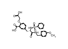 COc1ccc(CNC(=O)[C@H](Cc2ccc(OCC(=O)O)c(C(=O)O)c2)NS(=O)(=O)c2ccccc2)cc1